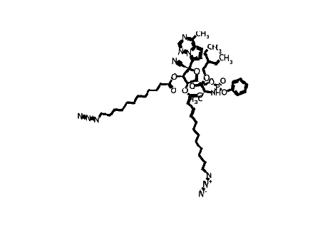 CCC(CC)COC(=O)[C@@H](C)NP(=O)(OC[C@H]1O[C@@](C#N)(c2ccc3c(C)ncnn23)[C@H](OC(=O)CCCCCCCCCCCN=[N+]=[N-])[C@@H]1OC(=O)CCCCCCCCCCCN=[N+]=[N-])Oc1ccccc1